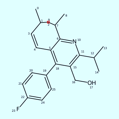 CC(C)/C=C\c1c(C(C)C)nc(C(C)C)c(CO)c1-c1ccc(F)cc1